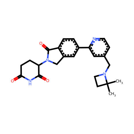 CC1(C)CCN1Cc1ccnc(-c2ccc3c(c2)CN(C2CCC(=O)NC2=O)C3=O)c1